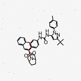 Cc1ccc(-n2nc(C(C)(C)C)cc2NC(=O)Nc2ccc(CC3CC4CCC(C3)N4S(=O)(=O)c3ccc4ccccc4c3)cc2)cc1